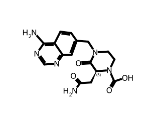 NC(=O)C[C@H]1C(=O)N(Cc2ccc3c(N)ncnc3c2)CCN1C(=O)O